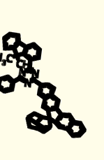 CC1(C)c2ccccc2-c2cccc(-c3nc(-c4ccccc4)nc(-c4ccc5cc6c(cc5c4)C4(c5cc7ccccc7cc5-6)C5CC6CC(C5)CC4C6)n3)c21